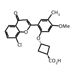 COc1cc(O[C@H]2C[C@H](C(=O)O)C2)c(-c2cc(=O)c3cccc(Cl)c3o2)cc1C